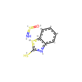 N=S=O.Sc1nc2ccccc2s1